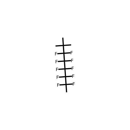 CC(C)(C)C(F)(F)C(F)(F)C(F)(F)C(F)(F)C(C)(F)F